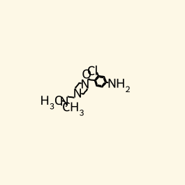 CN(C)CCN1CCN(C(=O)c2ccc(N)cc2Cl)CC1